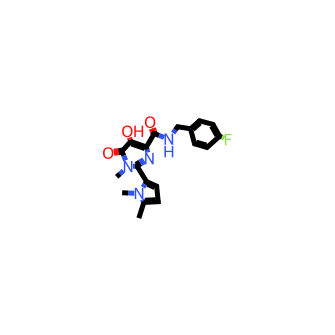 Cc1ccc(-c2nc(C(=O)NCc3ccc(F)cc3)c(O)c(=O)n2C)n1C